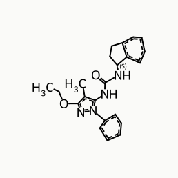 CCOc1nn(-c2ccccc2)c(NC(=O)N[C@H]2CCc3ccccc32)c1C